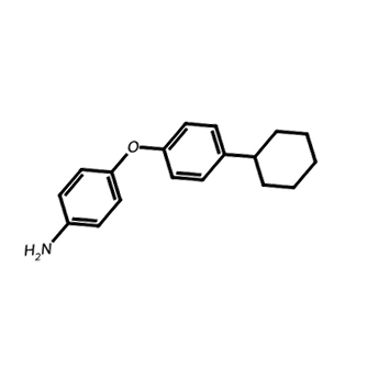 Nc1ccc(Oc2ccc(C3CCCCC3)cc2)cc1